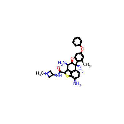 Cc1cc(Oc2ccccc2)ccc1C1(N)C(=O)C(N)c2c(C(=O)NC3CN(C)C3)sc3c(N)ccc1c23